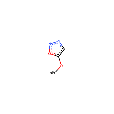 CCCOc1[c]nno1